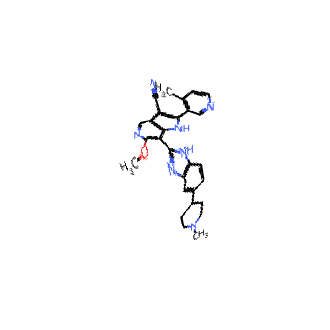 COc1ncc2c(C#N)c(-c3cnccc3C)[nH]c2c1-c1nc2cc(C3CCN(C)CC3)ccc2[nH]1